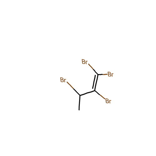 CC(Br)C(Br)=C(Br)Br